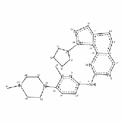 Cc1nc(Nc2ncc3ccc4cnn(C5CCCC5)c4c3n2)ccc1N1CCN(C)CC1